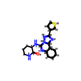 O=C1NCCC[C@H]1Nc1nc2ccccc2c2nc(-c3ccsc3)nn12